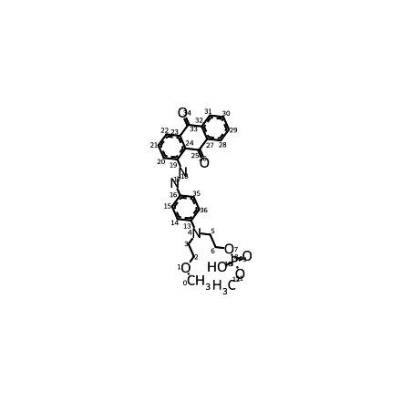 COCCN(CCOP(=O)(O)OC)c1ccc(/N=N/c2cccc3c2C(=O)c2ccccc2C3=O)cc1